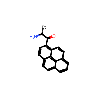 CCC(N)C(=O)c1ccc2ccc3cccc4ccc1c2c34